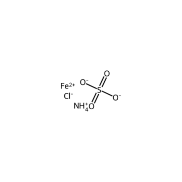 O=S(=O)([O-])[O-].[Cl-].[Fe+2].[NH4+]